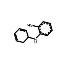 Sc1ccccc1NC1C=CC=CC1